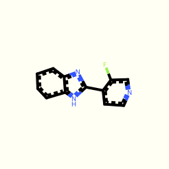 Fc1cnccc1-c1nc2ccccc2[nH]1